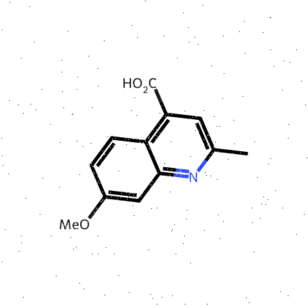 COc1ccc2c(C(=O)O)cc(C)nc2c1